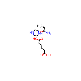 C1CNCCN1.C=CC(N)=O.O=C(O)CCCCC(=O)O